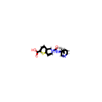 O=C(O)C1C=CC2=C(C=CN(C(=O)N[C@H]3CN4CCC3CC4)C2)S1